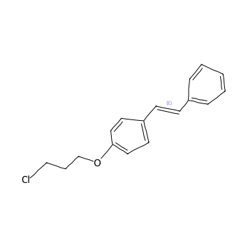 ClCCCOc1ccc(/C=C/c2ccccc2)cc1